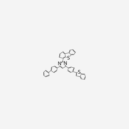 c1ccc(-c2ccc(-c3cc(-c4ccc(-c5cc6ccccc6s5)cc4)nc(-c4cccc5c4sc4ccccc45)n3)cc2)cc1